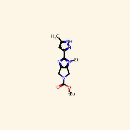 CCn1c(-c2cc(C)[nH]n2)nc2c1CN(C(=O)OC(C)(C)C)C2